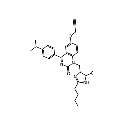 C#CCOc1ccc2c(c1)c(-c1ccc(C(C)C)cc1)nc(=O)n2CC1N=C(CCCC)NC1Cl